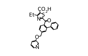 CCc1nc(C(=O)c2ccc(COc3cccnc3)cc2-c2ccccc2)sc1C(=O)O